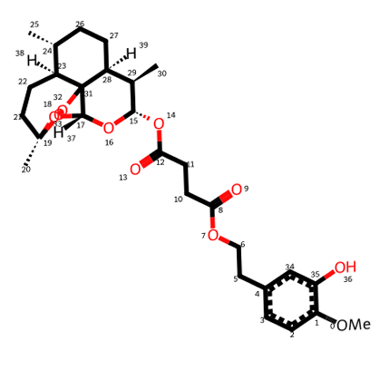 COc1ccc(CCOC(=O)CCC(=O)O[C@@H]2O[C@@H]3O[C@]4(C)CC[C@H]5[C@H](C)CC[C@@H]([C@H]2C)C35OO4)cc1O